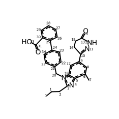 CCCc1nc2c(C)cc(C3=NNC(=O)CC3)cc2n1Cc1ccc(-c2ccccc2C(=O)O)cc1